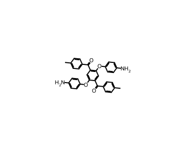 Cc1ccc(C(=O)c2cc(Oc3ccc(N)cc3)c(C(=O)c3ccc(C)cc3)cc2Oc2ccc(N)cc2)cc1